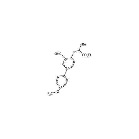 CCCCC(Oc1ccc(-c2ccc(OC(F)(F)F)cc2)cc1C=O)C(=O)OCC